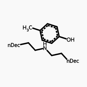 CCCCCCCCCCCCNCCCCCCCCCCCC.Cc1ccc(O)cc1